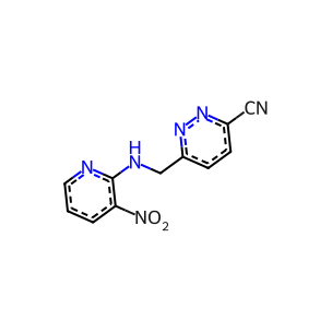 N#Cc1ccc(CNc2ncccc2[N+](=O)[O-])nn1